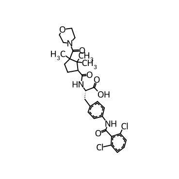 CC1(C(=O)N2CCOCC2)CCC(C(=O)N[C@@H](Cc2ccc(NC(=O)c3c(Cl)cccc3Cl)cc2)C(=O)O)C1(C)C